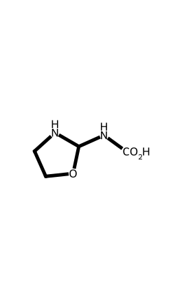 O=C(O)NC1NCCO1